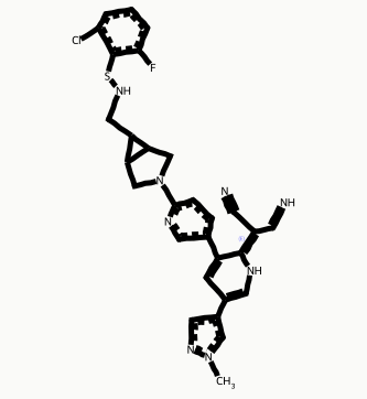 Cn1cc(C2=CN/C(=C(/C#N)C=N)C(c3ccc(N4CC5C(CNSc6c(F)cccc6Cl)C5C4)nc3)=C2)cn1